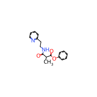 CC(C(=O)NCCc1ccccn1)C(=O)Oc1ccccc1